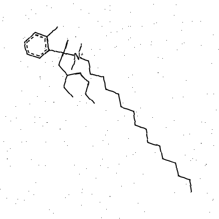 CCCCCCCCCCCCCCCC[N+](C)(C)C(C)(CC(CC)CCCC)c1ccccc1C